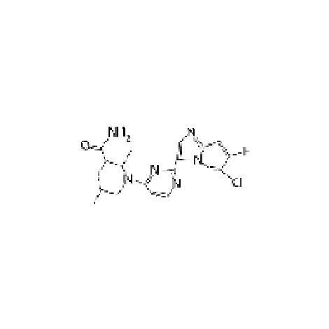 CC1CC(C(N)=O)C(C)N(c2ccnc(-c3cnc4cc(F)c(Cl)cn34)n2)C1